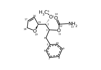 CO[C@H](C(Cc1ccccc1)OC(N)=O)[C@@H]1C=CCO1